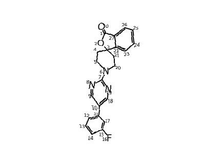 O=C1OC2(CCN(c3ncc(-c4cccc(F)c4)cn3)CC2)c2ccccc21